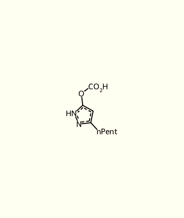 CCCCCc1cc(OC(=O)O)[nH]n1